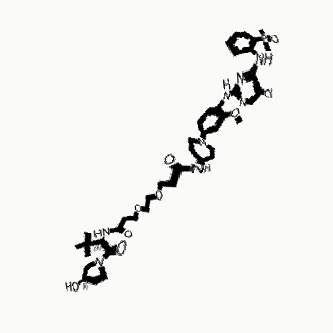 COc1cc(N2CCC(NC(=O)CCOCCOCCC(=O)N[C@H](C(=O)N3CC[C@@H](O)C3)C(C)(C)C)CC2)ccc1Nc1ncc(Cl)c(Nc2ccccc2P(C)(C)=O)n1